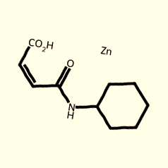 O=C(O)/C=C\C(=O)NC1CCCCC1.[Zn]